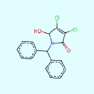 O=C1C(Cl)=C(Cl)C(O)N1C(c1ccccc1)c1ccccc1